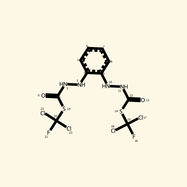 O=C(NNc1ccccc1NNC(=O)SC(F)(Cl)Cl)SC(F)(Cl)Cl